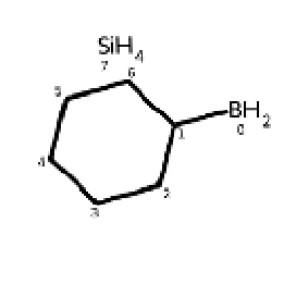 BC1CCCCC1.[SiH4]